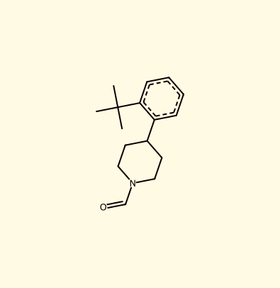 CC(C)(C)c1ccccc1C1CCN(C=O)CC1